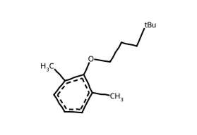 Cc1cccc(C)c1OCCCC(C)(C)C